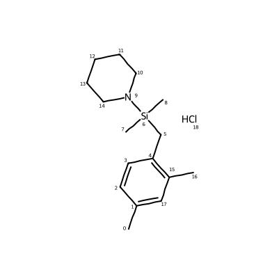 Cc1ccc(C[Si](C)(C)N2CCCCC2)c(C)c1.Cl